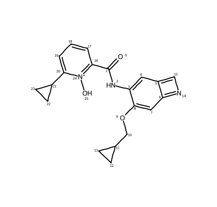 O=C(Nc1cc2c(cc1OCC1CC1)=NC=2)c1cccc(C2CC2)[n+]1O